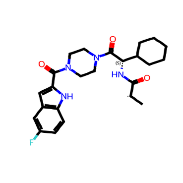 C[CH]C(=O)N[C@H](C(=O)N1CCN(C(=O)c2cc3cc(F)ccc3[nH]2)CC1)C1CCCCC1